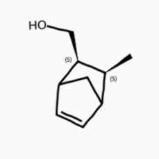 C[C@H]1C2C=CC(C2)[C@H]1CO